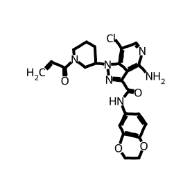 C=CC(=O)N1CCCC(n2nc(C(=O)Nc3ccc4c(c3)OCCO4)c3c(N)ncc(Cl)c32)C1